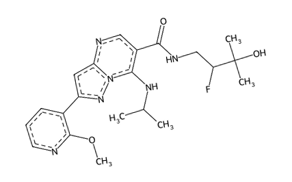 COc1ncccc1-c1cc2ncc(C(=O)NCC(F)C(C)(C)O)c(NC(C)C)n2n1